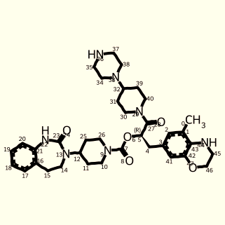 Cc1cc(C[C@@H](OC(=O)N2CCC(N3CCc4ccccc4NC3=O)CC2)C(=O)N2CCC(N3CCNCC3)CC2)cc2c1NCCO2